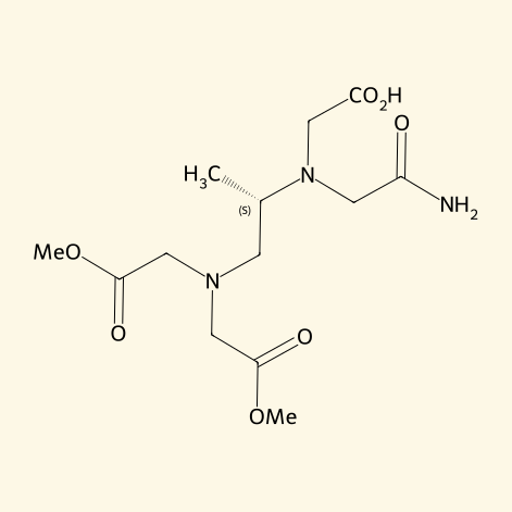 COC(=O)CN(CC(=O)OC)C[C@H](C)N(CC(N)=O)CC(=O)O